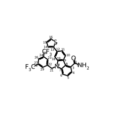 NC(=O)c1cccc2c1c1[c]cc(-c3cccs3)cc1n2Cc1cc(C(F)(F)F)cc(C(F)(F)F)c1